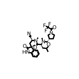 CC(C)C[C@@H](C(=O)N(C)[C@H](C#N)C[C@@]1(C)C(=O)Nc2ccccc21)N(C)C(=O)[C@H]1CCN(C(=O)C(F)(F)F)C1